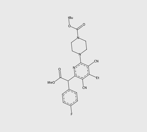 CCc1c(C#N)c(C(C(=O)OC)c2ccc(F)cc2)nc(N2CCN(C(=O)OC(C)(C)C)CC2)c1C#N